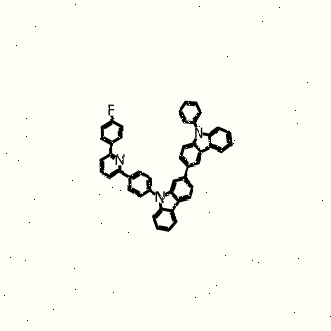 Fc1ccc(-c2cccc(-c3ccc(-n4c5ccccc5c5ccc(-c6ccc7c(c6)c6ccccc6n7-c6ccccc6)cc54)cc3)n2)cc1